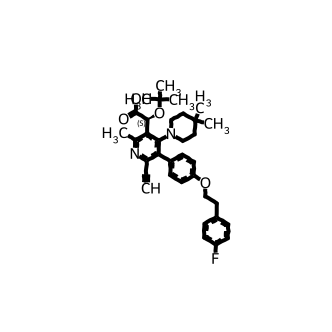 C#Cc1nc(C)c([C@H](OC(C)(C)C)C(=O)O)c(N2CCC(C)(C)CC2)c1-c1ccc(OCCc2ccc(F)cc2)cc1